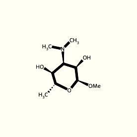 CO[C@H]1O[C@H](C)[C@@H](O)[C@@H](N(C)C)[C@H]1O